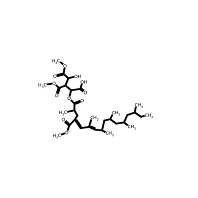 CCC(C)CC(C)CC(C)CC(C)/C=C(C)/C=C(\CC(C)C(=O)OC(C(=O)O)C(C(=O)OC)C(O)C(=O)OC)C(=O)OC